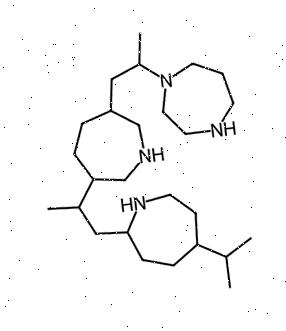 CC(C)C1CCNC(CC(C)C2CCC(CC(C)N3CCCNCC3)CNC2)CC1